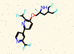 C[C@@](N)(COc1ccc(-c2ccnc(C(F)F)c2)nc1C(F)F)CC(CF)CF